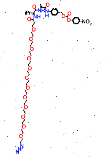 CC(C)[C@H](NC(=O)CCOCCOCCOCCOCCOCCOCCOCCOCCOCCOCCOCCOCCN=[N+]=[N-])C(=O)N[C@@H](C)C(=O)Nc1ccc(COC(=O)Oc2ccc([N+](=O)[O-])cc2)cc1